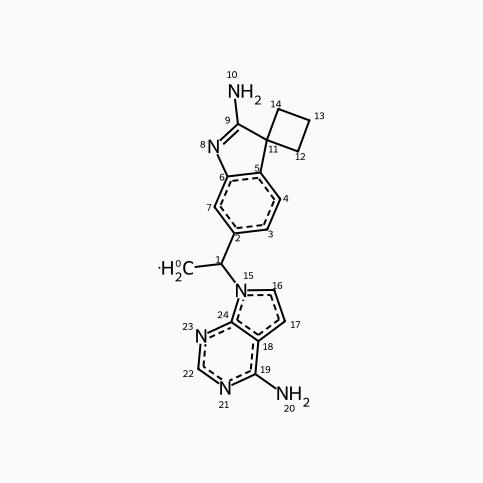 [CH2]C(c1ccc2c(c1)N=C(N)C21CCC1)n1ccc2c(N)ncnc21